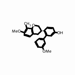 COc1cccc(-c2cc(O)ccc2[C@H]2COc3c(ccc(OC)c3C)C2)c1